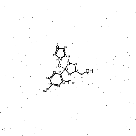 OC[C@@H]1CO[C@](On2cncn2)(c2ccc(F)cc2F)C1